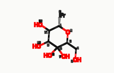 CC(C)[C@@H]1OC(CO)C(O)(O)C(O)C1O